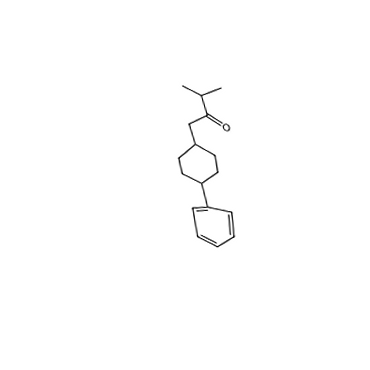 CC(C)C(=O)CC1CCC(c2ccccc2)CC1